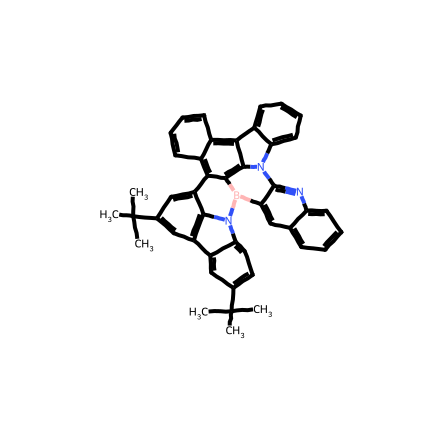 CC(C)(C)c1ccc2c(c1)c1cc(C(C)(C)C)cc3c1n2B1c2cc4ccccc4nc2-n2c4ccccc4c4c5ccccc5c-3c1c42